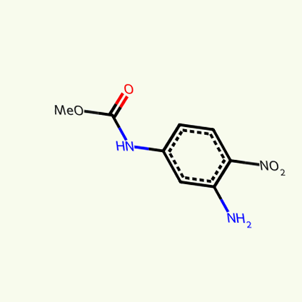 COC(=O)Nc1ccc([N+](=O)[O-])c(N)c1